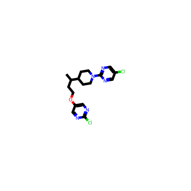 CC(CCOc1cnc(Cl)nc1)C1CCN(c2ncc(Cl)cn2)CC1